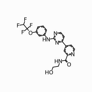 O=C(NCCO)c1cc(-c2ccnc(Nc3cccc(OC(F)(F)C(F)F)c3)n2)ccn1